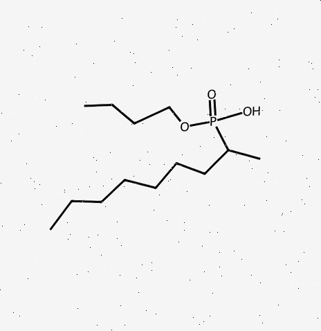 CCCCCCCC(C)P(=O)(O)OCCCC